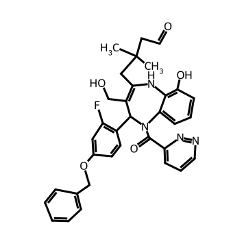 CC(C)(CC=O)CC1=C(CO)C(c2ccc(OCc3ccccc3)cc2F)N(C(=O)c2cccnn2)c2cccc(O)c2N1